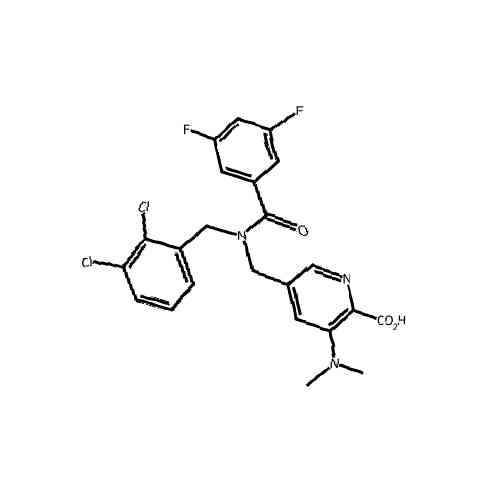 CN(C)c1cc(CN(Cc2cccc(Cl)c2Cl)C(=O)c2cc(F)cc(F)c2)cnc1C(=O)O